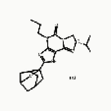 CCCN1C(=O)N2C[C@H](C(C)C)N=C2c2[nH]c(C34CC5CC(CC3C5)C4)nc21.Cl